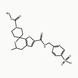 CCS(=O)(=O)c1ccc(CNC(=O)c2cc3c(s2)C2(CCN(C(=O)OC(C)(C)C)CC2)OC(C)C3)nc1